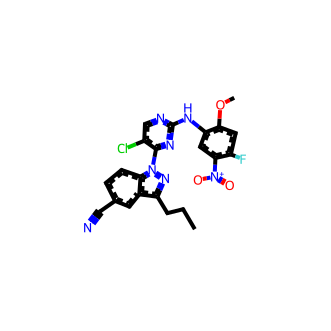 CCCc1nn(-c2nc(Nc3cc([N+](=O)[O-])c(F)cc3OC)ncc2Cl)c2ccc(C#N)cc12